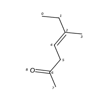 CCC(C)=CCC(C)=O